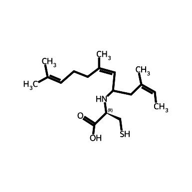 CC=C(C)CC(C=C(C)CCC=C(C)C)N[C@@H](CS)C(=O)O